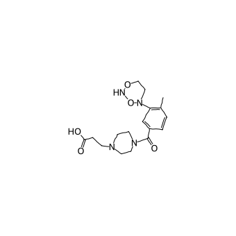 Cc1ccc(C(=O)N2CCN(CCC(=O)O)CC2)cc1N1CCONO1